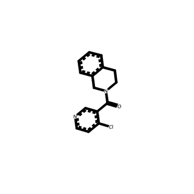 O=C(c1cnccc1Cl)N1CCc2ccccc2C1